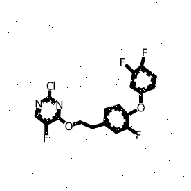 Fc1ccc(Oc2ccc(CCOc3nc(Cl)ncc3F)cc2F)cc1F